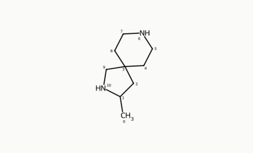 CC1CC2(CCNCC2)CN1